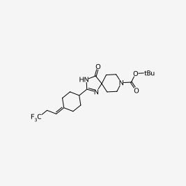 CC(C)(C)OC(=O)N1CCC2(CC1)N=C(C1CCC(=CCC(F)(F)F)CC1)NC2=O